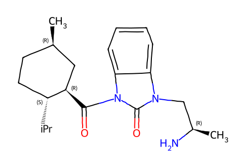 CC(C)[C@@H]1CC[C@@H](C)C[C@H]1C(=O)n1c(=O)n(C[C@@H](C)N)c2ccccc21